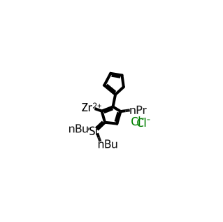 CCCC[Si](CCCC)=C1C=C(CCC)C(C2=CC=CC2)=[C]1[Zr+2].[Cl-].[Cl-]